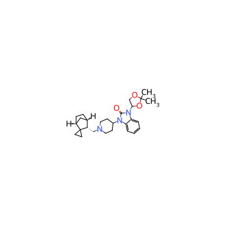 CC1(C)OCC(n2c(=O)n(C3CCN(C[C@H]4[C@H]5CC[C@H](C5)C45CC5)CC3)c3ccccc32)O1